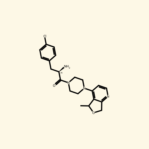 CC1OCc2nccc(N3CCN(C(=O)[C@H](N)Cc4ccc(Cl)cc4)CC3)c21